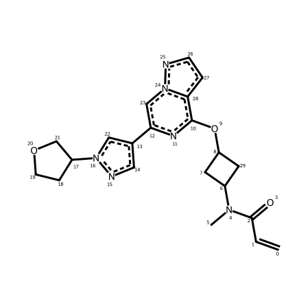 C=CC(=O)N(C)C1CC(Oc2nc(-c3cnn(C4CCOC4)c3)cn3nccc23)C1